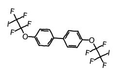 FC(F)(I)C(F)(F)Oc1ccc(-c2ccc(OC(F)(F)C(F)(F)I)cc2)cc1